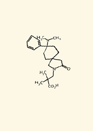 CN(C)C1(c2ccccc2)CCC2(CC1)CC(=O)N(CC(C)(C)C(=O)O)C2